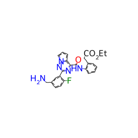 CCOC(=O)Cc1ccccc1NC(=O)c1nc(-c2cc(CN)ccc2F)nn2cccc12